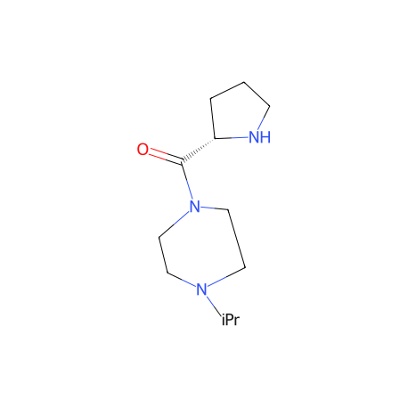 CC(C)N1CCN(C(=O)[C@@H]2CCCN2)CC1